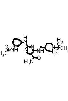 CC(=O)Nc1cccc(Nc2ncc(C(N)=O)c(NCC3CCN(C(C)(C)C)CC3)n2)c1